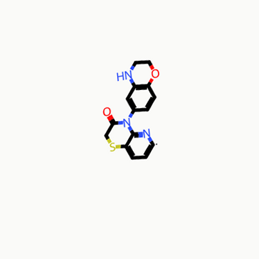 O=C1CSc2cc[c]nc2N1c1ccc2c(c1)NCCO2